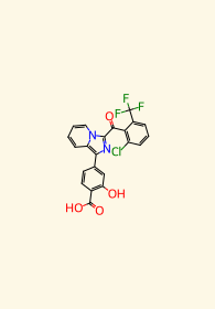 O=C(O)c1ccc(-c2nc(C(=O)c3c(Cl)cccc3C(F)(F)F)n3ccccc23)cc1O